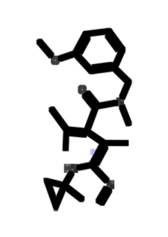 C=N/C(NC1(C)CC1)=C(\C)C(C(=O)N(C)Cc1cccc(OC)c1)=C(C)C